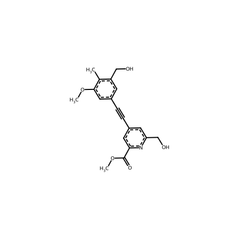 COC(=O)c1cc(C#Cc2cc(CO)c(C)c(OC)c2)cc(CO)n1